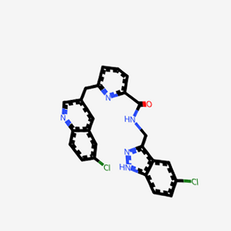 O=C(NCc1n[nH]c2ccc(Cl)cc12)c1cccc(Cc2cnc3ccc(Cl)cc3c2)n1